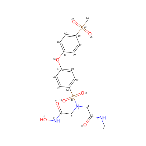 CNC(=O)CN(CC(=O)NO)S(=O)(=O)c1ccc(Oc2ccc(S(C)(=O)=O)cc2)cc1